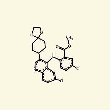 COC(=O)c1cc(Cl)ccc1Nc1c(C2CCC3(CC2)OCCO3)cnc2ccc(Cl)cc12